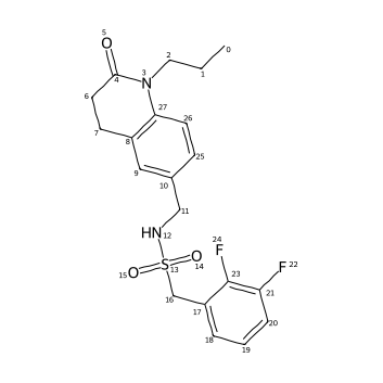 CCCN1C(=O)CCc2cc(CNS(=O)(=O)Cc3cccc(F)c3F)ccc21